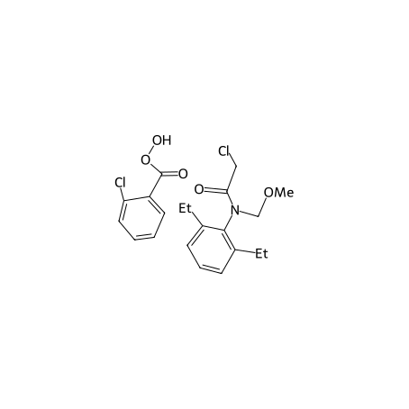 CCc1cccc(CC)c1N(COC)C(=O)CCl.O=C(OO)c1ccccc1Cl